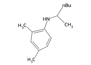 CCCCC(C)Nc1ccc(C)cc1C